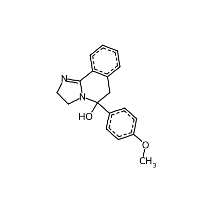 COc1ccc(C2(O)Cc3ccccc3C3=NCCN32)cc1